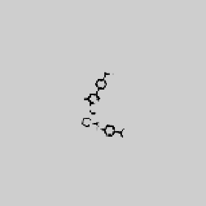 CC(C)c1ccc(NC(=O)N2CCC[C@@H]2C(=O)Nc2ncc(-c3ccc(C(=O)O)cc3)cc2F)cc1